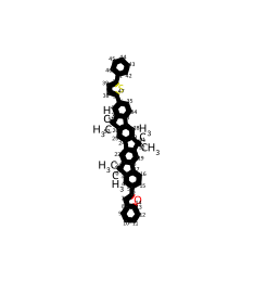 CC1(C)c2cc(-c3cc4ccccc4o3)ccc2-c2cc3c(cc21)-c1cc2c(cc1C3(C)C)-c1ccc(-c3ccc(-c4ccccc4)s3)cc1C2(C)C